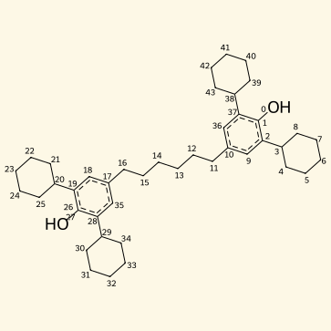 Oc1c(C2CCCCC2)cc(CCCCCCc2cc(C3CCCCC3)c(O)c(C3CCCCC3)c2)cc1C1CCCCC1